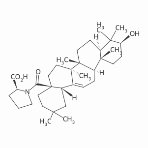 CC1(C)CC[C@]2(C(=O)N3CCC[C@H]3C(=O)O)CC[C@]3(C)C(=CC[C@@H]4[C@@]5(C)CC[C@H](O)C(C)(C)[C@@H]5CC[C@]43C)[C@@H]2C1